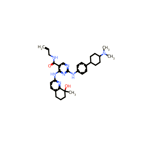 C=CCNC(=O)c1cnc(Nc2ccc(C3CCC(N(C)C)CC3)cc2)nc1Nc1ccc2c(n1)C(C)(O)CCC2